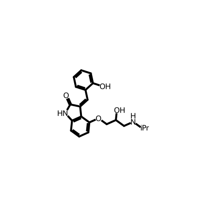 CC(C)NCC(O)COc1cccc2c1C(=Cc1ccccc1O)C(=O)N2